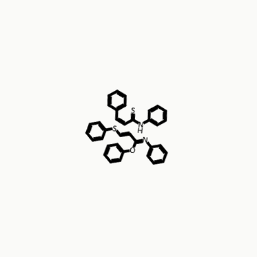 C(=C\C(=N\c1ccccc1)Oc1ccccc1)/Sc1ccccc1.S=C(/C=C\c1ccccc1)Nc1ccccc1